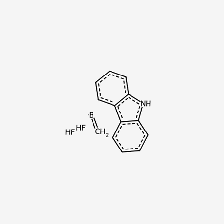 F.F.[B]=C.c1ccc2c(c1)[nH]c1ccccc12